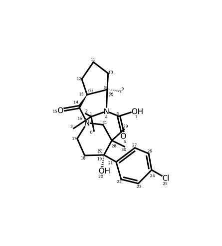 CC(C)(C)N(C(=O)O)[C@]1(C)CCC[C@@H]1C(=O)N1CC[C@](O)(c2ccc(Cl)cc2)C(C)(C)C1